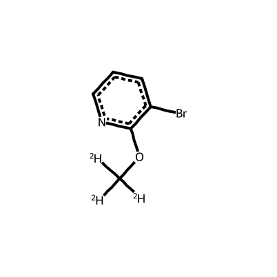 [2H]C([2H])([2H])Oc1ncccc1Br